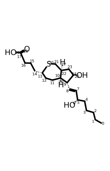 CCCCC[C@H](O)/C=C/[C@@H]1[C@H]2CC[C@H](CCCC(=O)O)SC[C@H]2C[C@H]1O